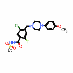 CCS(=O)(=O)NC(=O)c1cc(Cl)c(CN2CCN(c3ccc(OC(F)(F)F)cc3)CC2)cc1F